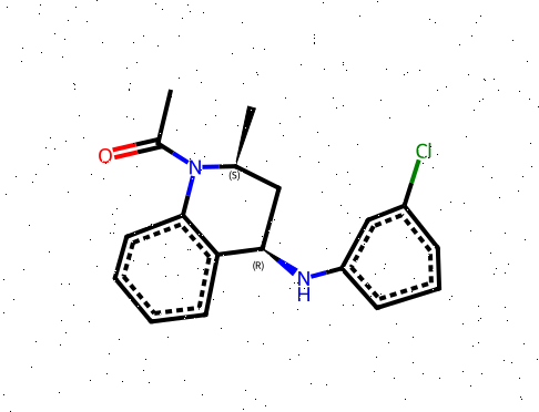 CC(=O)N1c2ccccc2[C@H](Nc2cccc(Cl)c2)C[C@@H]1C